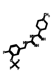 CN1CCN(C(=N)NC(=N)NCc2ccc(F)c(OC(F)(F)F)c2)CC1